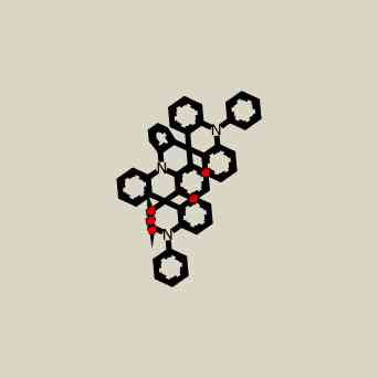 c1ccc(N2c3ccccc3C3(c4ccccc42)c2ccccc2N2c4ccccc4C4(c5ccccc5N(c5ccccc5)c5ccccc54)c4cccc3c42)cc1